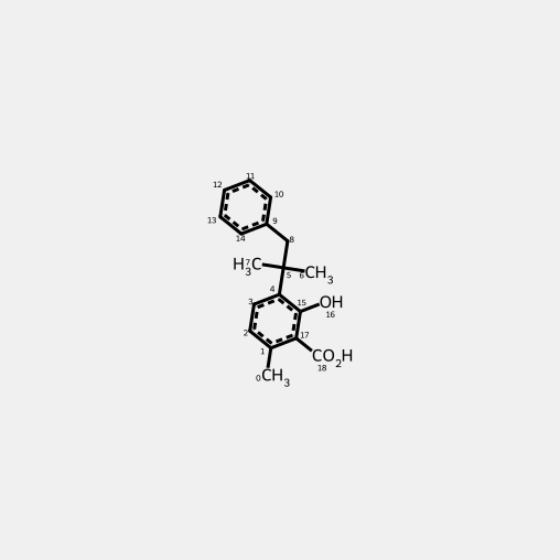 Cc1ccc(C(C)(C)Cc2ccccc2)c(O)c1C(=O)O